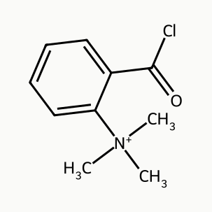 C[N+](C)(C)c1ccccc1C(=O)Cl